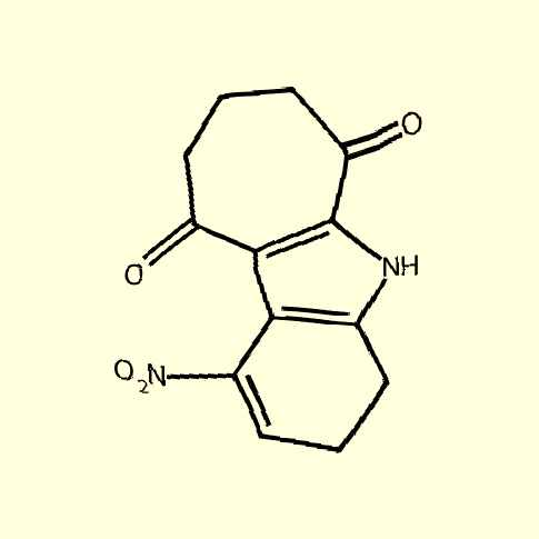 O=C1CCCC(=O)c2c1[nH]c1c2C([N+](=O)[O-])=CCC1